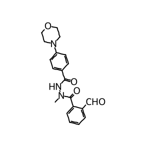 CN(NC(=O)c1ccc(N2CCOCC2)cc1)C(=O)c1ccccc1C=O